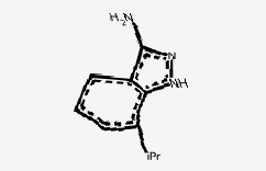 CC(C)c1cccc2c(N)n[nH]c12